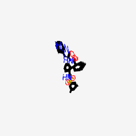 Cc1cccc(S(=O)(=O)NCc2ccccc2-c2ccccc2C(=O)N[C@@H](Cc2ccccc2)C(N)=O)c1